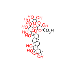 C[C@H]1[C@H](O)C(C)(C)CC2C3=CCC4[C@@]5(C)CC[C@H](O[C@@H]6OC(C(=O)O)[C@@H](O)[C@@H](O[C@@H]7O[C@@H](CO)[C@@H](O)C7O)C6O[C@@H]6OC(CO)[C@H](O)[C@@H](O)C6O)C(C)(C)C5CC[C@@]4(C)[C@]3(C)[C@@H](O)[C@@H](O)[C@]21CO